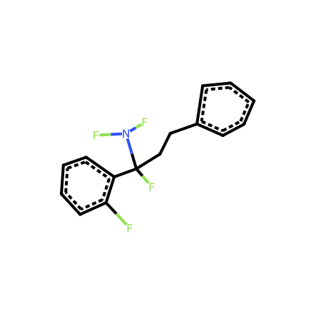 Fc1ccccc1C(F)(CCc1ccccc1)N(F)F